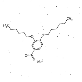 CCCCCCOc1ccc(C(=O)[O-])cc1OCCCCCC.[Na+]